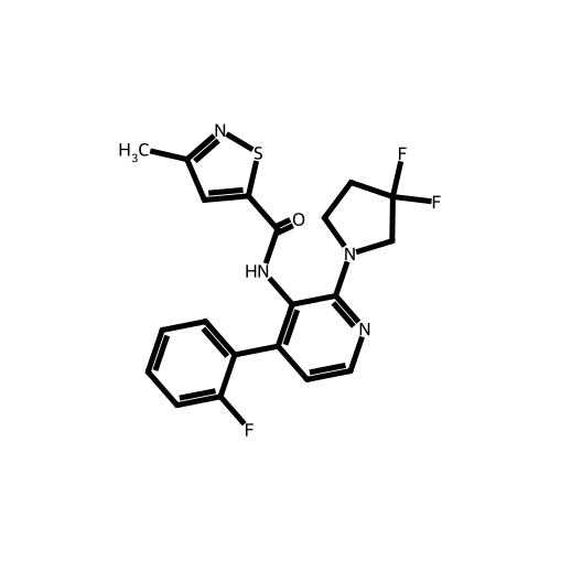 Cc1cc(C(=O)Nc2c(-c3ccccc3F)ccnc2N2CCC(F)(F)C2)sn1